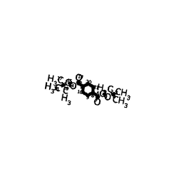 CC(C)(C)OOC(=O)C1CCC(C(=O)OOC(C)(C)C)CC1